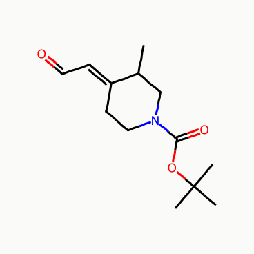 CC1CN(C(=O)OC(C)(C)C)CCC1=CC=O